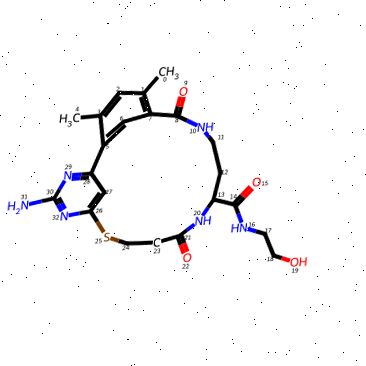 Cc1cc(C)c2cc1C(=O)NCCC(C(=O)NCCO)NC(=O)CCSc1cc-2nc(N)n1